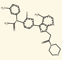 Cc1cccc(N(C(N)=O)c2ccc(-c3nn(CC(=O)N4CCOCC4)c4ncnc(N)c34)cc2F)c1